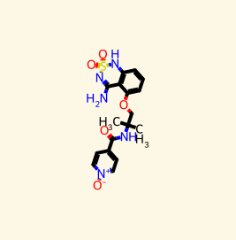 CC(C)(COc1cccc2c1C(N)=NS(=O)(=O)N2)NC(=O)c1cc[n+]([O-])cc1